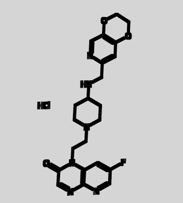 Cl.O=c1cnc2ncc(F)cc2n1CCN1CCC(NCc2cc3c(cn2)OCCO3)CC1